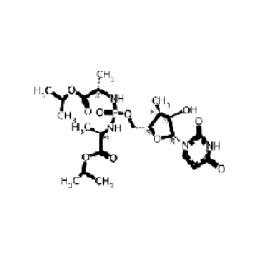 CC(C)OC(=O)[C@H](C)NP(=O)(N[C@H](C)C(=O)OC(C)C)OC[C@H]1O[C@@H](n2ccc(=O)[nH]c2=O)[C@H](O)[C@@H]1C